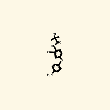 CC(C)(O)C(=O)Nc1ccc(Sc2ccc(N)cc2)cc1Cl